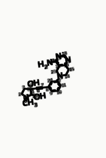 CN1CC[C@@](O)(C#Cc2cccc(N3CCc4ncnc(N)c4C3)c2)C1O